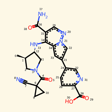 C[C@@H]1CN(C(=O)C2(C#N)CC2)C[C@H]1Nc1c(C(N)=O)cnn2cc(-c3ccc(C(=O)O)nc3)cc12